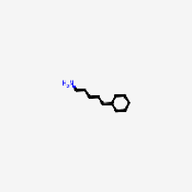 NCCCCCC1CCCCC1